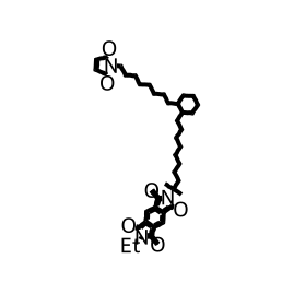 CCn1c(=O)c2cc3c(=O)n(C(C)(C)CCCCCCCCC4CCCCC4CCCCCCCCN4C(=O)C=CC4=O)c(=O)c3cc2c1=O